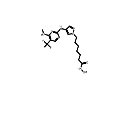 CNc1nc(Nc2cnn(CCCCCCC(=O)NO)c2)ncc1C(F)(F)F